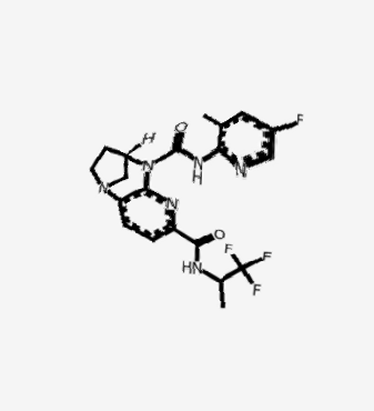 Cc1cc(F)cnc1NC(=O)N1c2nc(C(=O)NC(C)C(F)(F)F)ccc2N2CC[C@H]1C2